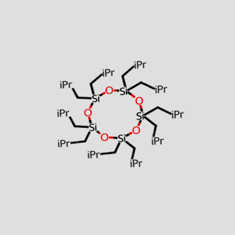 CC(C)C[Si]1(CC(C)C)O[Si](CC(C)C)(CC(C)C)O[Si](CC(C)C)(CC(C)C)O[Si](CC(C)C)(CC(C)C)O[Si](CC(C)C)(CC(C)C)O1